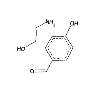 NCCO.O=Cc1ccc(O)cc1